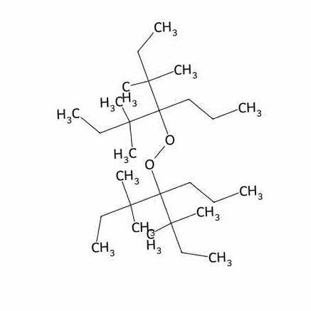 CCCC(OOC(CCC)(C(C)(C)CC)C(C)(C)CC)(C(C)(C)CC)C(C)(C)CC